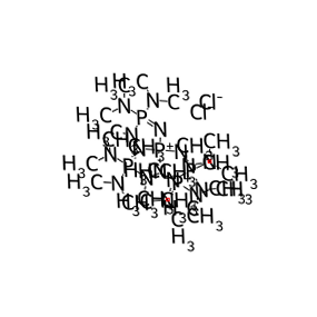 CN(C)P(=N[P+](N=P(N(C)C)(N(C)C)N(C)C)(N=P(N(C)C)(N(C)C)N(C)C)N[P+](N(C)C)(N(C)C)N(C)C)(N(C)C)N(C)C.[Cl-].[Cl-]